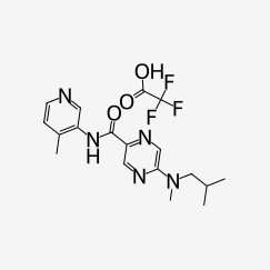 Cc1ccncc1NC(=O)c1cnc(N(C)CC(C)C)cn1.O=C(O)C(F)(F)F